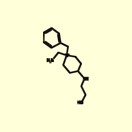 NC[N+]1(Cc2ccccc2)CCC(NCCO)CC1